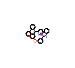 c1ccc(-c2ccccc2[C@H](c2cccc(Oc3cccc(-c4nc5ccccc5s4)c3)c2)c2ccccn2)cc1